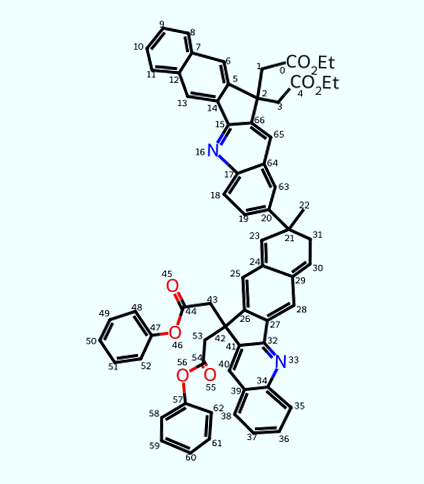 CCOC(=O)CC1(CC(=O)OCC)c2cc3ccccc3cc2-c2nc3ccc(C4(C)C=c5cc6c(cc5=CC4)-c4nc5ccccc5cc4C6(CC(=O)Oc4ccccc4)CC(=O)Oc4ccccc4)cc3cc21